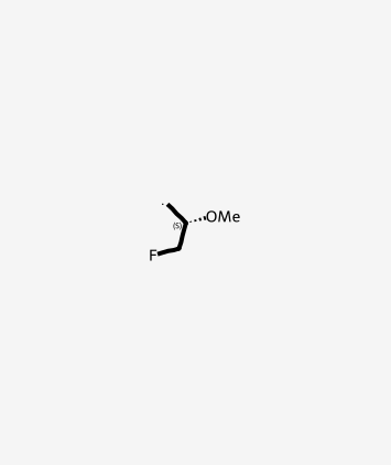 [CH2][C@@H](CF)OC